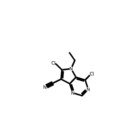 CCn1c(Cl)c(C#N)c2ncnc(Cl)c21